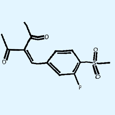 CC(=O)C(=Cc1ccc(S(C)(=O)=O)c(F)c1)C(C)=O